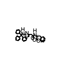 O=C(Cc1csc(NC(c2ccccc2)(c2ccccc2)c2ccccc2)n1)N[C@@H](Cc1ccccc1)C(=O)O